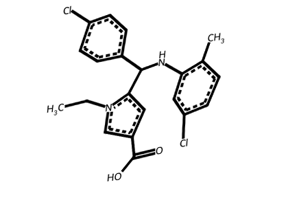 CCn1cc(C(=O)O)cc1C(Nc1cc(Cl)ccc1C)c1ccc(Cl)cc1